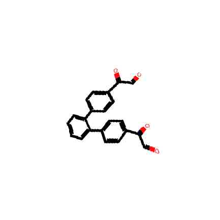 O=CC(=O)c1ccc(-c2ccccc2-c2ccc(C(=O)C=O)cc2)cc1